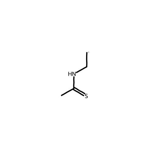 [CH2]CNC(C)=S